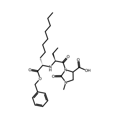 CCCCCCCC[C@H](N[C@@H](CC)C(=O)N1C(=O)N(C)CC1C(=O)O)C(=O)OCc1ccccc1